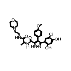 COc1ccc(-c2c(-c3cc(Cl)c(O)cc3O)n[nH]c2C(=O)NC(C)C(=O)NCCN2CCOCC2)cc1